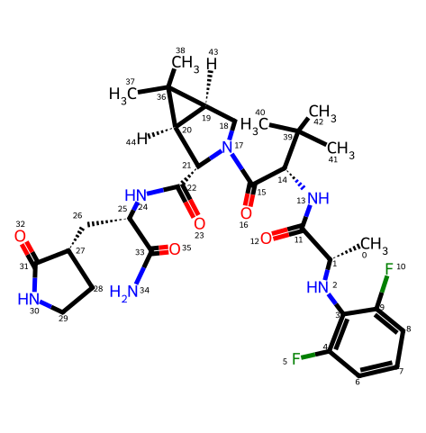 C[C@H](Nc1c(F)cccc1F)C(=O)N[C@H](C(=O)N1C[C@H]2[C@@H]([C@H]1C(=O)N[C@@H](C[C@@H]1CCNC1=O)C(N)=O)C2(C)C)C(C)(C)C